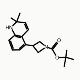 CC1(C)C=Cc2c(cccc2C2CN(C(=O)OC(C)(C)C)C2)N1